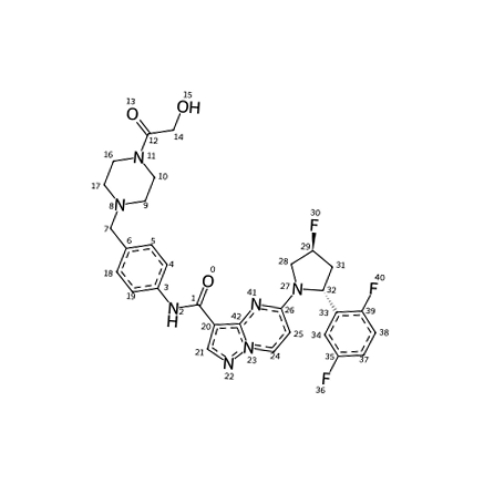 O=C(Nc1ccc(CN2CCN(C(=O)CO)CC2)cc1)c1cnn2ccc(N3C[C@@H](F)C[C@@H]3c3cc(F)ccc3F)nc12